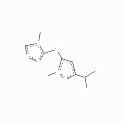 Cn1cnnc1Nc1cc(C(F)F)nn1C